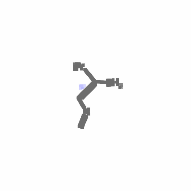 B/C(=C\N=C)C(C)C